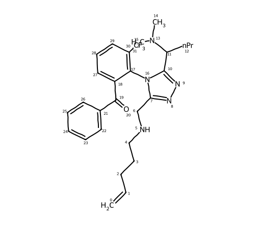 C=CCCCNCc1nnc(C(CCC)N(C)C)n1-c1c(C(=O)c2ccccc2)cccc1C(F)(F)F